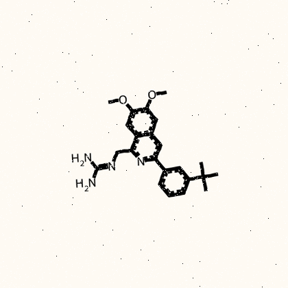 COc1cc2cc(-c3cccc(C(C)(C)C)c3)nc(CN=C(N)N)c2cc1OC